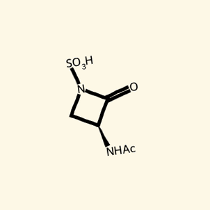 CC(=O)N[C@H]1CN(S(=O)(=O)O)C1=O